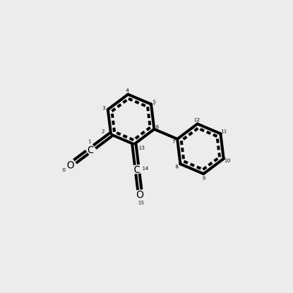 O=C=c1cc[c]c(-c2ccccc2)c1=C=O